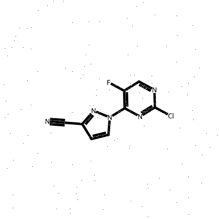 N#Cc1ccn(-c2nc(Cl)ncc2F)n1